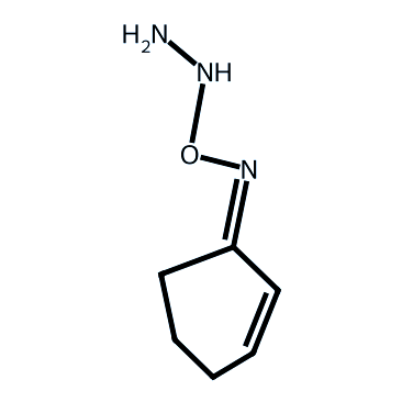 NNO/N=C1/C=CCCC1